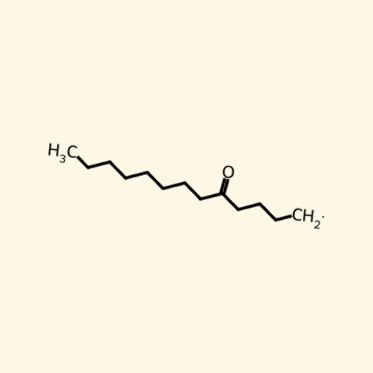 [CH2]CCCC(=O)CCCCCCCC